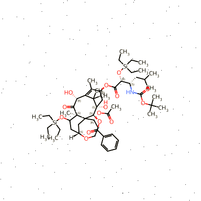 CC[Si](CC)(CC)OC1C[C@@H]2CC3([C@H](OC(C)=O)CCO2)[C@H](OC(=O)c2ccccc2)[C@]2(O)C[C@H](OC(=O)[C@H](O[Si](CC)(CC)CC)[C@H](CC(C)C)NC(=O)OC(C)(C)C)C(C)=C([C@@H](O)C(=O)[C@]13C)C2(C)C